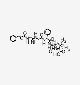 CC1(C)S[C@@H]2[C@H](NC(=O)C(NC(=O)CNC(=N)CNC(=O)OCc3ccccc3)c3ccccc3)C(=O)N2[C@H]1C(=O)O